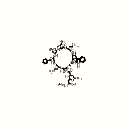 CCCCCCC[C@@H](O)CC(=O)N[C@H](CCN)C(=O)N[C@H]1CCNC(=O)[C@H](Cc2c[nH]c3ccccc23)NC(=O)[C@H](CCN)NC(=O)[C@H](CCN)NC(=O)[C@H](CC(C)C)NC(=O)[C@@H](CCc2ccccc2)NC(=O)[C@H](CCN)NC1=O